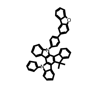 CC1(C)c2ccccc2-c2c1c1c3ccccc3n(-c3ccccc3)c1c1c3ccccc3n(-c3ccc(-c4ccc5oc6ccccc6c5c4)cc3)c21